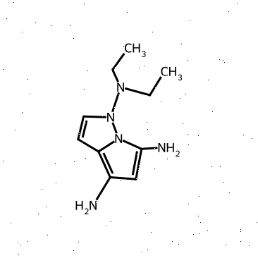 CCN(CC)n1ccc2c(N)cc(N)n21